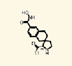 CCC(=O)[C@@H]1NCCC12CCc1cc(C(=O)NO)ccc1C2